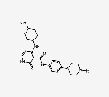 CCN1CCN(c2ccc(NC(=O)c3c(NC4CCC(OC)CC4)cc[nH]c3=O)cc2)CC1